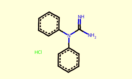 Cl.N=C(N)N(c1ccccc1)c1ccccc1